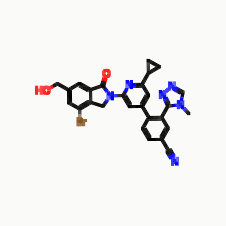 Cn1cnnc1-c1cc(C#N)ccc1-c1cc(C2CC2)nc(N2Cc3c(Br)cc(CO)cc3C2=O)c1